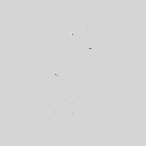 Nc1nc2c(nnn2[C@@H]2C[C@@H]3COP(=O)(S)O[C@@H]4[C@@H](CCOP(=O)(S)O[C@@H]2C3)C[C@@H](Nc2ccncn2)[C@@H]4F)c(=O)[nH]1